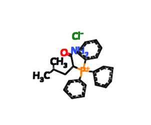 CC(C)CC(C(N)=O)[P+](c1ccccc1)(c1ccccc1)c1ccccc1.[Cl-]